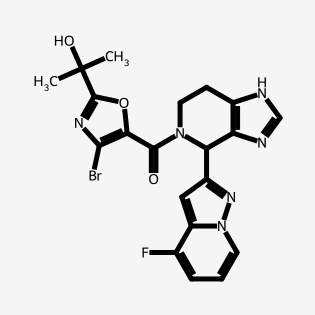 CC(C)(O)c1nc(Br)c(C(=O)N2CCc3[nH]cnc3C2c2cc3c(F)cccn3n2)o1